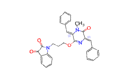 Cn1c(=O)/c(=C/c2ccccc2)nc(OCCCN2C(=O)C(=O)c3ccccc32)/c1=C/c1ccccc1